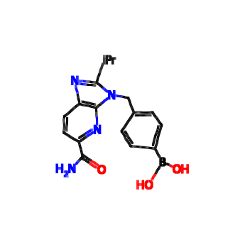 CC(C)c1nc2ccc(C(N)=O)nc2n1Cc1ccc(B(O)O)cc1